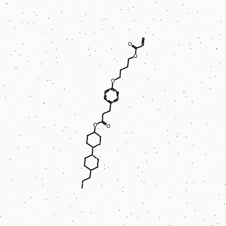 C=CC(=O)OCCCCOc1ccc(CCC(=O)OC2CCC(C3CCC(CCC)CC3)CC2)cc1